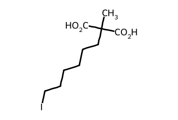 CC(CCCCCCI)(C(=O)O)C(=O)O